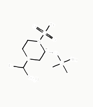 CCC(C(=O)O)N1CCN(S(=O)(=O)C(C)C)[C@H](O[Si](C)(C)C(C)(C)C)C1